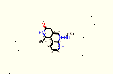 CCCCNN1C=C2CC(=O)NC(C(C)C)C2C2=CC=CNC21